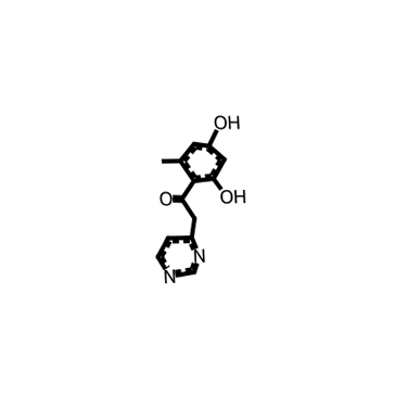 Cc1cc(O)cc(O)c1C(=O)Cc1ccncn1